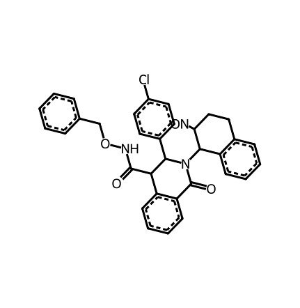 O=NC1CCc2ccccc2C1N1C(=O)c2ccccc2C(C(=O)NOCc2ccccc2)C1c1ccc(Cl)cc1